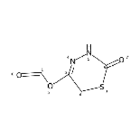 O=COC1=NNC(=O)SC1